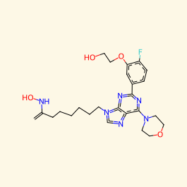 C=C(CCCCCCn1cnc2c(N3CCOCC3)nc(-c3ccc(F)c(OCCO)c3)nc21)NO